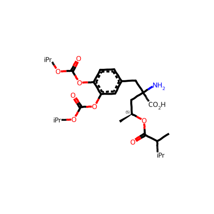 CC(C)OC(=O)Oc1ccc(CC(N)(C[C@H](C)OC(=O)C(C)C(C)C)C(=O)O)cc1OC(=O)OC(C)C